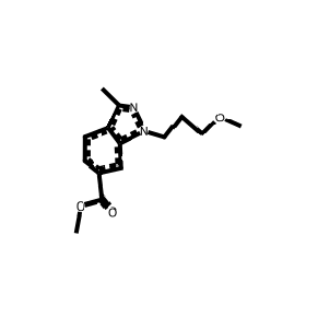 COCCCn1nc(C)c2ccc(C(=O)OC)cc21